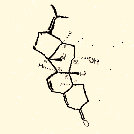 CC(C)=C1CC[C@H]2[C@@H]3C=CC4=CC(=O)CC[C@]4(C)[C@H]3[C@@H](O)C[C@]12C